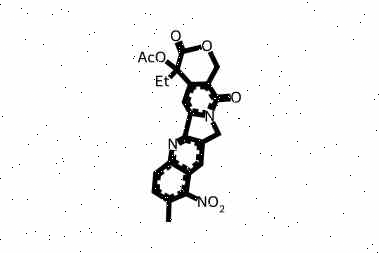 CCC1(OC(C)=O)C(=O)OCc2c1cc1n(c2=O)Cc2cc3c([N+](=O)[O-])c(C)ccc3nc2-1